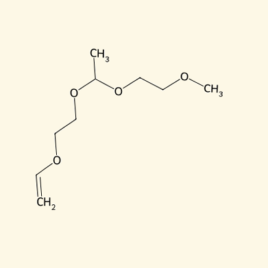 C=COCCOC(C)OCCOC